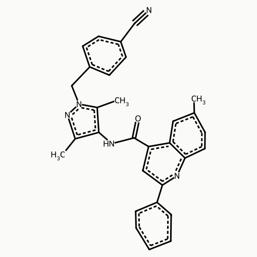 Cc1ccc2nc(-c3ccccc3)cc(C(=O)Nc3c(C)nn(Cc4ccc(C#N)cc4)c3C)c2c1